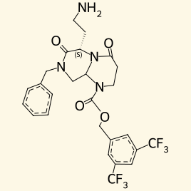 NCC[C@H]1C(=O)N(Cc2ccccc2)CC2N(C(=O)OCc3cc(C(F)(F)F)cc(C(F)(F)F)c3)CCC(=O)N21